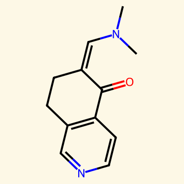 CN(C)C=C1CCc2cnccc2C1=O